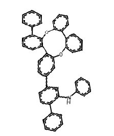 c1ccc(Nc2cc(-c3ccc4c(c3)Oc3ccccc3-c3ccccc3Oc3c(-c5ccccc5)cccc3-4)ccc2-c2ccccc2)cc1